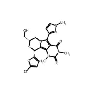 Cn1ccc(-c2c3c(=O)n(C)c(=O)n(C)c3c3n2C[C@@H](CO)S[C@H]3c2ccc(Cl)o2)n1